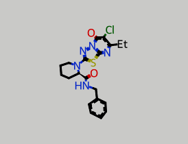 CCc1nc2sc(N3CCCC[C@@H]3C(=O)NCc3ccccc3)nn2c(=O)c1Cl